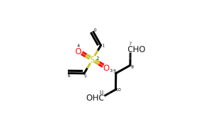 C=CS(=O)(=O)C=C.O=CCCCC=O